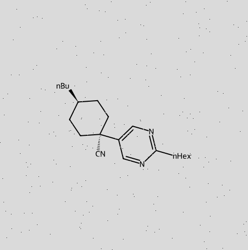 CCCCCCc1ncc([C@]2(C#N)CC[C@H](CCCC)CC2)cn1